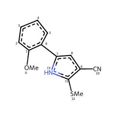 COc1ccccc1-c1cc(C#N)c(SC)[nH]1